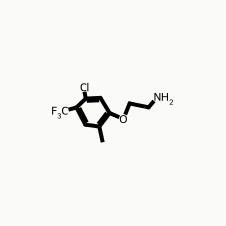 Cc1cc(C(F)(F)F)c(Cl)cc1OCCN